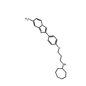 Cc1ccn2cc(-c3ccc(OCCCNC4CCCCCC4)cc3)nc2c1